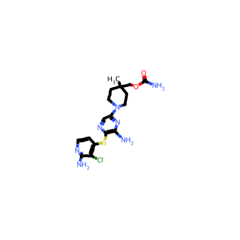 CC1(COC(N)=O)CCN(c2cnc(Sc3ccnc(N)c3Cl)c(N)n2)CC1